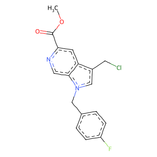 COC(=O)c1cc2c(CCl)cn(Cc3ccc(F)cc3)c2cn1